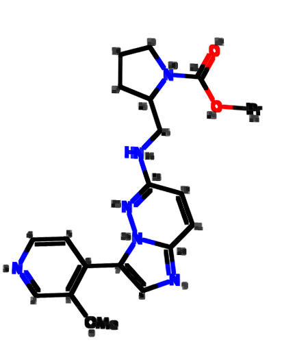 COc1cnccc1-c1cnc2ccc(NCC3CCCN3C(=O)OC(C)C)nn12